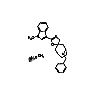 Cl.Cl.Cn1cc(C2=NCC3(CC4CCC(C3)N4Cc3ccccc3)O2)c2ccccc21.O.O